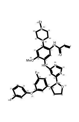 C=CC(=O)Nc1cc(Nc2cc(N3OCC[C@@H]3c3cc(F)cc(Oc4cccc(F)c4)c3)ncn2)c(OC)cc1N1CCN(CC)CC1